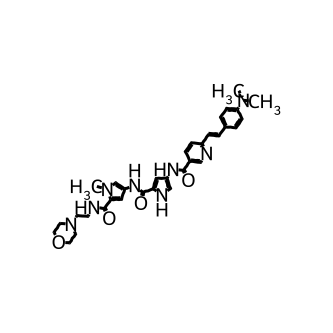 CN(C)c1ccc(/C=C/c2ccc(C(=O)Nc3c[nH]c(C(=O)Nc4cc(C(=O)NCCN5CCOCC5)n(C)c4)c3)cn2)cc1